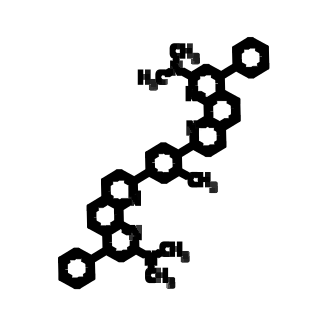 Cc1cc(-c2ccc3ccc4c(-c5ccccc5)cc(N(C)C)nc4c3n2)ccc1-c1ccc2ccc3c(-c4ccccc4)cc(N(C)C)nc3c2n1